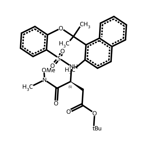 CON(C)C(=O)[C@H](CC(=O)OC(C)(C)C)NS(=O)(=O)c1ccccc1OC(C)(C)c1c(C)ccc2ccccc12